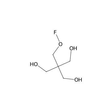 OCC(CO)(CO)COF